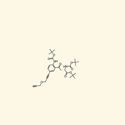 C#CCOCC#Cc1ccc(NC(=O)OC(C)(C)C)c(C(=O)C[C@H](NC(=O)OC(C)(C)C)C(=O)OC(C)(C)C)c1